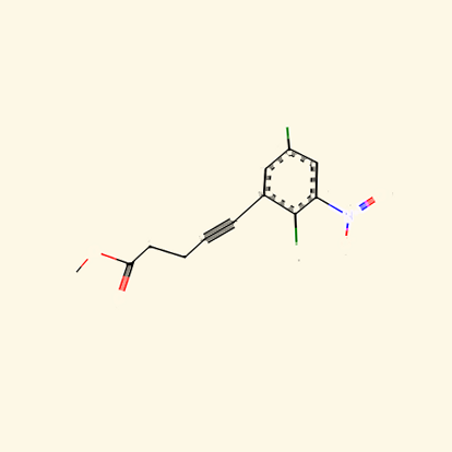 COC(=O)CCC#Cc1cc(F)cc([N+](=O)[O-])c1F